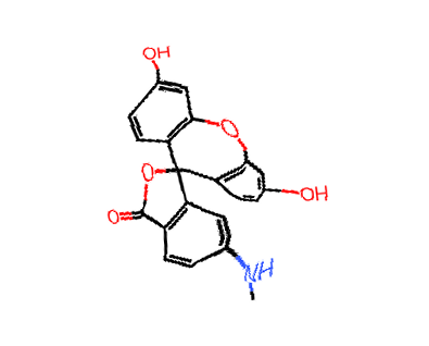 CNc1ccc2c(c1)C1(OC2=O)c2ccc(O)cc2Oc2cc(O)ccc21